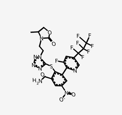 CC1COC(=O)N1CCn1nnnc1Sc1c(C(N)=O)cc([N+](=O)[O-])cc1-c1ncc(C(F)(F)C(F)(F)C(F)(F)F)cc1F